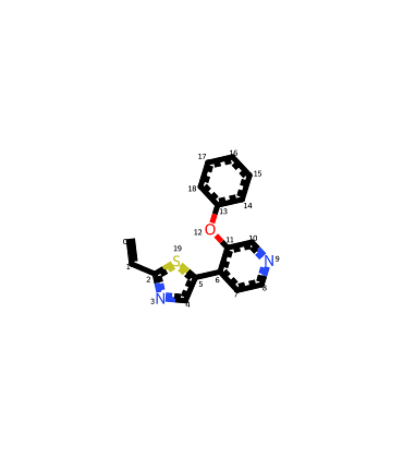 C=Cc1ncc(-c2ccncc2Oc2ccccc2)s1